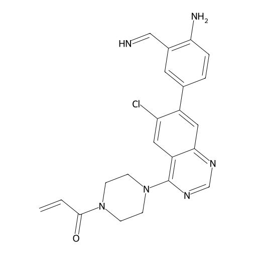 C=CC(=O)N1CCN(c2ncnc3cc(-c4ccc(N)c(C=N)c4)c(Cl)cc23)CC1